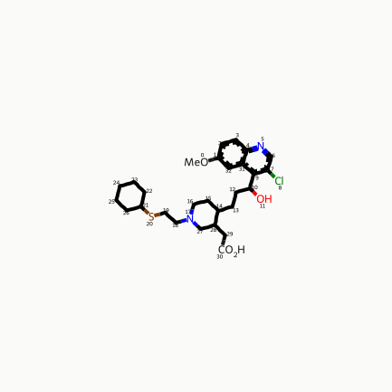 COc1ccc2ncc(Cl)c(C(O)CCC3CCN(CCSC4CCCCC4)CC3CC(=O)O)c2c1